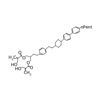 C=C(CO)C(=O)OCC(CCc1ccc(CCC2CCC(c3ccc(-c4ccc(CCCCC)cc4)cc3)CC2)cc1)COC(=O)C(=C)CO